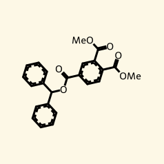 COC(=O)c1ccc(C(=O)OC(c2ccccc2)c2ccccc2)cc1C(=O)OC